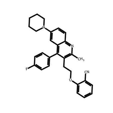 Cc1nc2ccc(N3CCCCC3)cc2c(-c2ccc(F)cc2)c1CCOc1ccccc1C#N